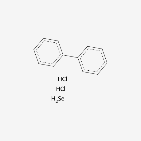 Cl.Cl.[SeH2].c1ccc(-c2ccccc2)cc1